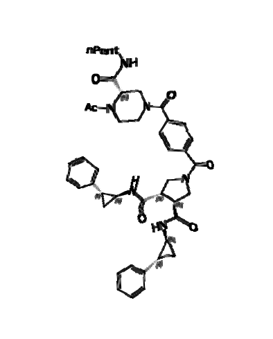 CCCCCNC(=O)[C@@H]1CN(C(=O)c2ccc(C(=O)N3C[C@@H](C(=O)N[C@H]4C[C@@H]4c4ccccc4)[C@H](C(=O)N[C@H]4C[C@@H]4c4ccccc4)C3)cc2)CCN1C(C)=O